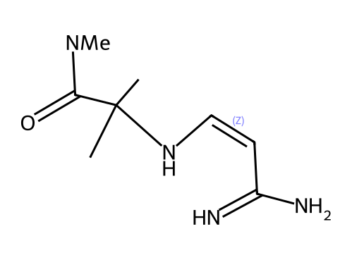 CNC(=O)C(C)(C)N/C=C\C(=N)N